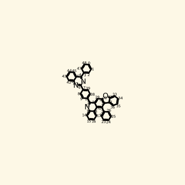 c1ccc(-c2nc(-c3ccc(-c4nc5ccccc5c5c(-c6ccccc6)c6c(cc45)oc4ccccc46)cc3)nc3ccccc23)cc1